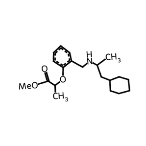 COC(=O)C(C)Oc1ccccc1CNC(C)CC1CCCCC1